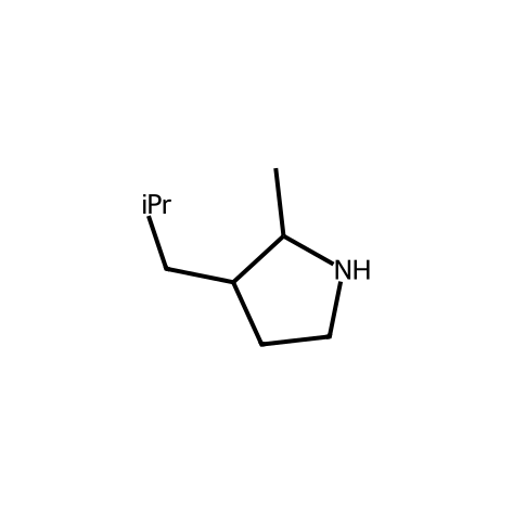 CC(C)CC1CCNC1C